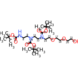 CC(C)(C)OC(=O)NCCN(CCN(CCOCCOCCO)C(=O)OC(C)(C)C)C(=O)OC(C)(C)C